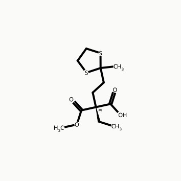 CC[C@@](CCC1(C)SCCS1)(C(=O)O)C(=O)OC